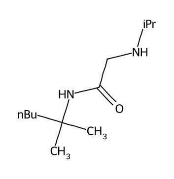 CCCCC(C)(C)NC(=O)CNC(C)C